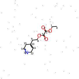 CCOC(=O)C(=O)OCCC1=CCN=CC1